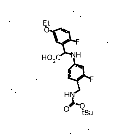 CCOc1ccc(F)c(C(Nc2ccc(CNC(=O)OC(C)(C)C)c(F)c2)C(=O)O)c1